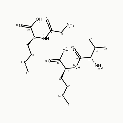 CSCC[C@H](NC(=O)CN)C(=O)O.CSCC[C@H](NC(=O)[C@@H](N)C(C)C)C(=O)O